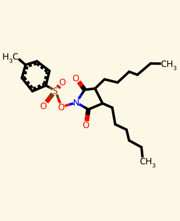 CCCCCCC1C(=O)N(OS(=O)(=O)c2ccc(C)cc2)C(=O)C1CCCCCC